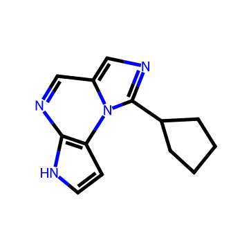 c1cc2c(ncc3cnc(C4CCCC4)n32)[nH]1